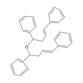 C(=Cc1ccccc1)CC(OC(CC=Cc1ccccc1)c1ccccc1)c1ccccc1